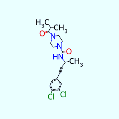 CC(C#Cc1ccc(Cl)c(Cl)c1)NC(=O)N1CCN(C(=O)C(C)C)CC1